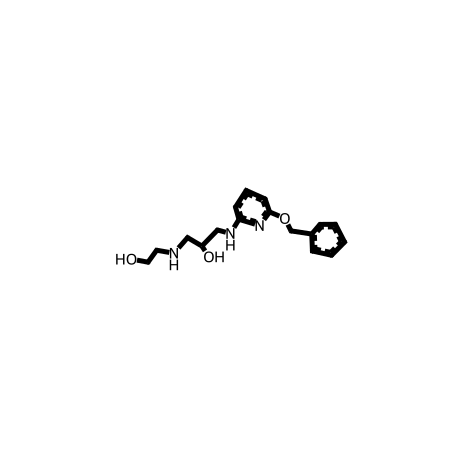 OCCNCC(O)CNc1cccc(OCc2ccccc2)n1